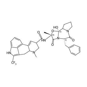 CN1CC(C(=O)N[C@]2(C)O[C@@]3(O)C4CCCN4C(=O)[C@H](Cc4ccccc4)N3C2=O)C=C2c3cccc4[nH]c(C(F)(F)F)c(c34)CC21